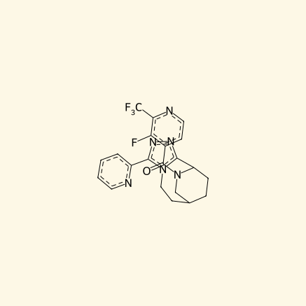 O=C(c1ccnc(C(F)(F)F)c1F)N1CC2CCC1c1nnc(-c3ccccn3)n1CC2